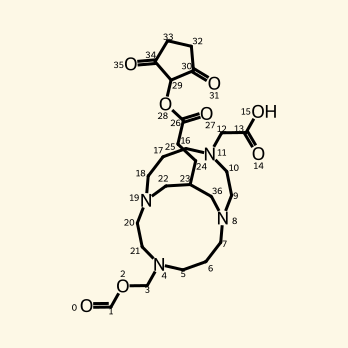 O=COCN1CCCN2CCN(CC(=O)O)CCCN(CC1)CC(CCC(=O)OC1C(=O)CCC1=O)C2